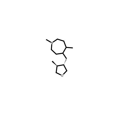 CC1CCN(C)CCC1C[C@@H]1COC[C@H]1C